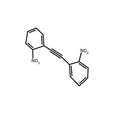 O=[N+]([O-])c1ccccc1C#Cc1ccccc1[N+](=O)[O-]